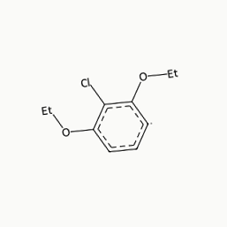 CCOc1[c]ccc(OCC)c1Cl